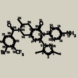 Cc1cc(C)n(-c2nc3c(c(=O)n2-c2ncc(N)cn2)CC(C)N(C(=O)c2ccc(Br)c(C(F)(F)F)c2)C3)n1